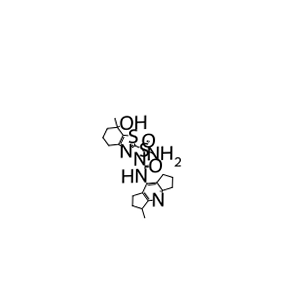 CC1CCc2c1nc1c(c2NC(=O)N=S(N)(=O)c2nc3c(s2)C(C)(O)CCC3)CCC1